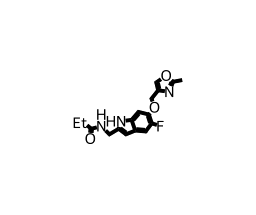 CCC(=O)NCc1cc2cc(F)c(OCc3coc(C)n3)cc2[nH]1